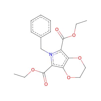 CCOC(=O)c1c2c(c(C(=O)OCC)n1Cc1ccccc1)OCCO2